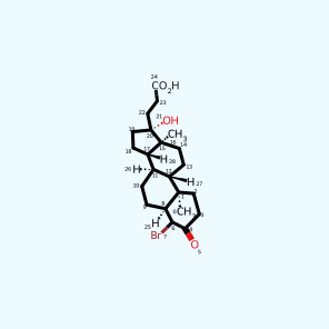 C[C@]12CCC(=O)C(Br)[C@H]1CC[C@@H]1[C@@H]2CC[C@@]2(C)[C@H]1CC[C@@]2(O)CCC(=O)O